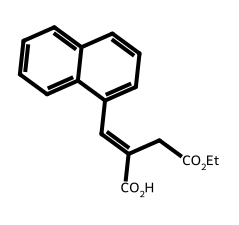 CCOC(=O)CC(=Cc1cccc2ccccc12)C(=O)O